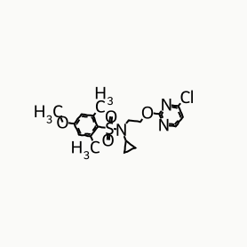 COc1cc(C)c(S(=O)(=O)N(CCOc2nccc(Cl)n2)C2CC2)c(C)c1